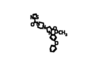 COc1cc(Oc2ccccc2)ccc1N1CC(N2CCN(C(=O)c3nccs3)CC2)CC1=O